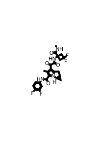 CNC(=O)C1(NC(=O)C(=O)c2c(C)c(C(=O)Nc3ccc(F)c(F)c3)n3c2CC2C[C@H]23)CC(F)(F)C1